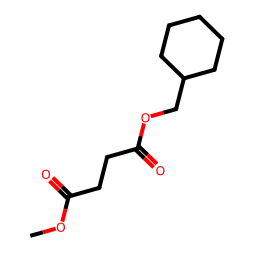 COC(=O)CCC(=O)OCC1CCCCC1